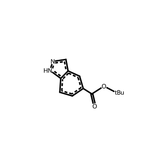 CC(C)(C)OC(=O)c1ccc2[nH]ncc2c1